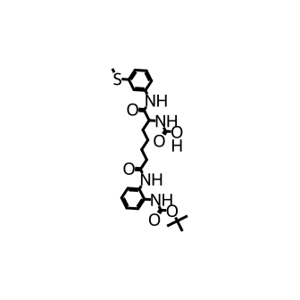 CSc1cccc(NC(=O)C(CCCCC(=O)Nc2ccccc2NC(=O)OC(C)(C)C)NC(=O)O)c1